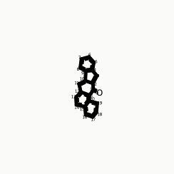 O=C1C2=Cc3ccccc3C2=Cc2ccc3ccccc3c21